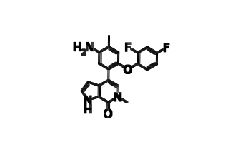 Cc1cc(Oc2ccc(F)cc2F)c(-c2cn(C)c(=O)c3[nH]ccc23)cc1N